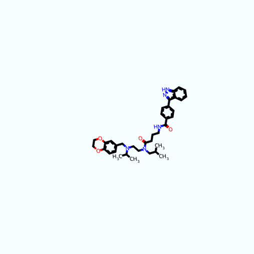 CC(C)CN(CCN(Cc1ccc2c(c1)OCCO2)C(C)C)C(=O)CCCNC(=O)c1ccc(-c2n[nH]c3ccccc23)cc1